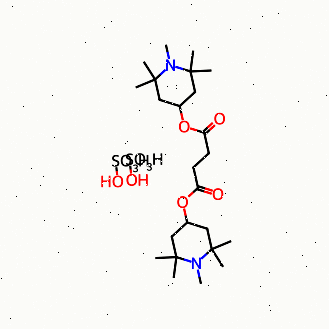 CN1C(C)(C)CC(OC(=O)CCC(=O)OC2CC(C)(C)N(C)C(C)(C)C2)CC1(C)C.O=S(=O)(O)O.O=S(=O)(O)O